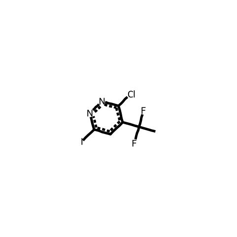 CC(F)(F)c1cc(I)nnc1Cl